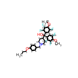 CCCOc1ccc(CN2CCC(C(O)(c3cc(F)c(OC)c(F)c3F)c3cc(F)c(OC)c(F)c3F)CC2)cc1